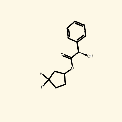 O=C(OC1CCC(F)(F)C1)[C@H](O)c1ccccc1